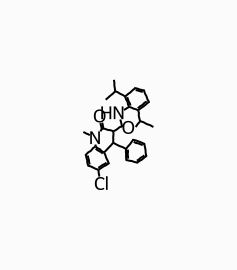 CC(C)c1cccc(C(C)C)c1NC(=O)C1C(=O)N(C)c2ccc(Cl)cc2C1c1ccccc1